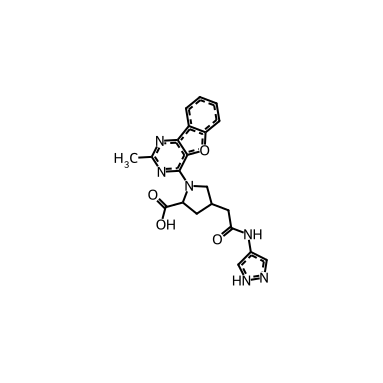 Cc1nc(N2CC(CC(=O)Nc3cn[nH]c3)CC2C(=O)O)c2oc3ccccc3c2n1